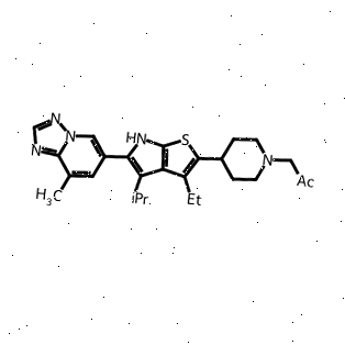 CCc1c(C2CCN(CC(C)=O)CC2)sc2[nH]c(-c3cc(C)c4ncnn4c3)c(C(C)C)c12